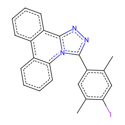 Cc1cc(-c2nnc3c4ccccc4c4ccccc4n23)c(C)cc1I